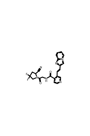 N#CC1CC(F)(F)CN1C(=O)CNC(=O)c1ccncc1C=Cc1cn2ccccc2n1